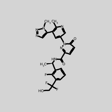 Cc1ncc(-n2nc(C(=O)N[C@H](C)c3cccc(C(F)(F)CO)c3F)ccc2=O)cc1-c1cnnn1C